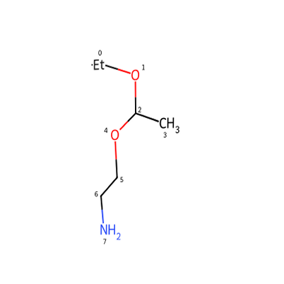 C[CH]OC(C)OCCN